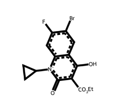 CCOC(=O)c1c(O)c2cc(Br)c(F)cc2n(C2CC2)c1=O